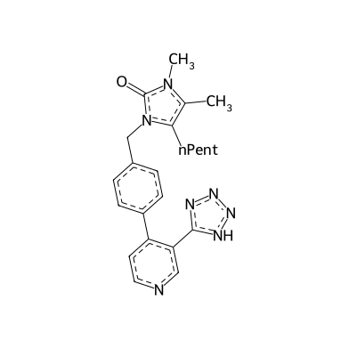 CCCCCc1c(C)n(C)c(=O)n1Cc1ccc(-c2ccncc2-c2nnn[nH]2)cc1